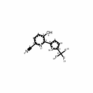 N#Cc1ccc(O)c(-c2ccc(C(F)(F)F)s2)n1